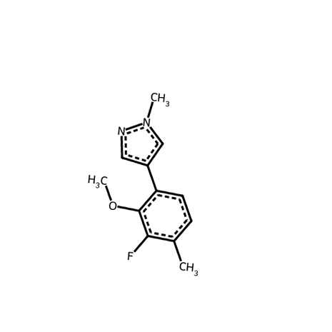 COc1c(-c2cnn(C)c2)ccc(C)c1F